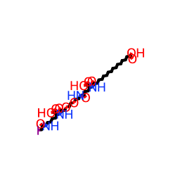 O=C(O)CCCCCCCCCCCCCCC(=O)NC(CCC(=O)NCCOCCOCC(=O)NC(CCCCNC(=O)CI)C(=O)O)C(=O)O